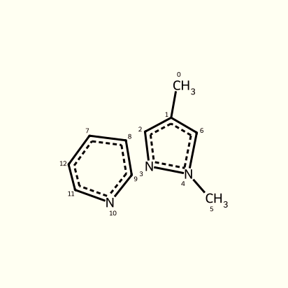 Cc1cnn(C)c1.c1ccncc1